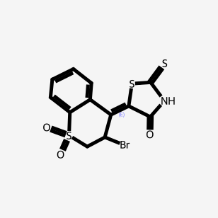 O=C1NC(=S)S/C1=C1\c2ccccc2S(=O)(=O)CC1Br